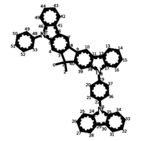 CC1(C)c2cc3c(cc2-c2cc4c5ccccc5n(-c5ccc(-n6c7ccccc7c7ccccc76)cc5)c4cc21)c1ccccc1n3-c1ccccc1